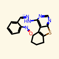 O=Nc1ccccc1/C=N\Nc1ncnc2sc3c(c12)CCCC3